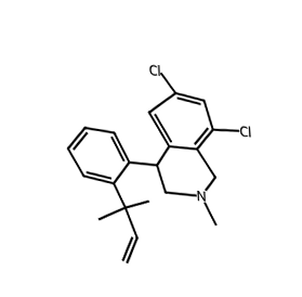 C=CC(C)(C)c1ccccc1C1CN(C)Cc2c(Cl)cc(Cl)cc21